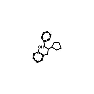 Oc1ccccc1CC(Cc1ccccc1)C1CCCC1